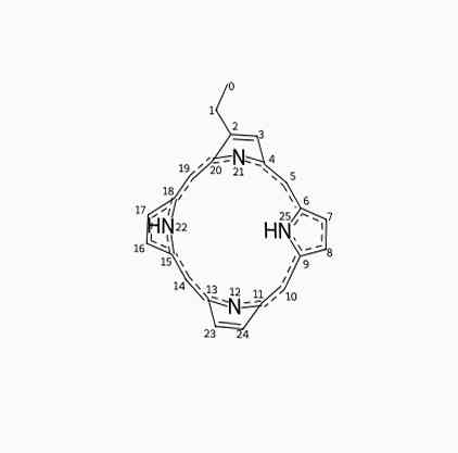 CCC1=Cc2cc3ccc(cc4nc(cc5ccc(cc1n2)[nH]5)C=C4)[nH]3